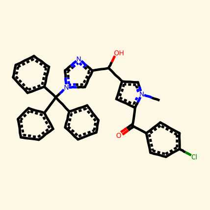 Cn1cc(C(O)c2cn(C(c3ccccc3)(c3ccccc3)c3ccccc3)cn2)cc1C(=O)c1ccc(Cl)cc1